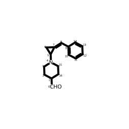 O=CC1CCN(C2CC2=Cc2ccccc2)CC1